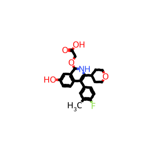 Cc1cc(C2=C(C3CCOCC3)NC(OCC(=O)O)c3cc(O)ccc32)ccc1F